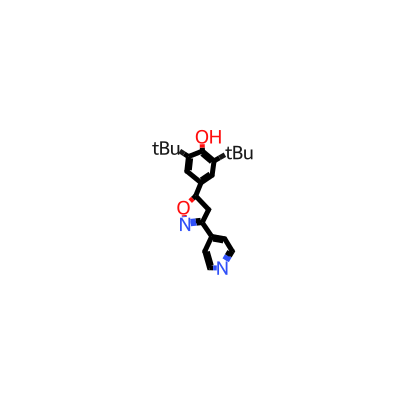 CC(C)(C)c1cc(C2CC(c3ccncc3)=NO2)cc(C(C)(C)C)c1O